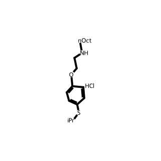 CCCCCCCCNCCOc1ccc(SC(C)C)cc1.Cl